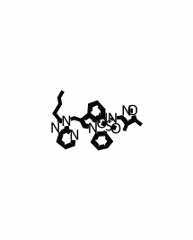 CCCCc1nc2cccnc2n1Cc1cn(-c2ccccc2S(=O)(=O)Nc2noc(C)c2C)c2ccccc12